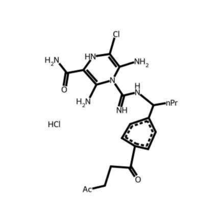 CCCC(NC(=N)N1C(N)=C(Cl)NC(C(N)=O)=C1N)c1ccc(C(=O)CCC(C)=O)cc1.Cl